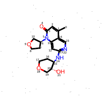 Cc1cc(=O)n([C@H]2CCOC2)c2cc(N[C@@H]3CCOC[C@H]3O)ncc12